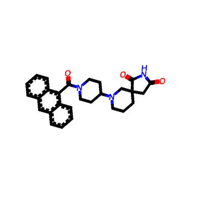 O=C1CC2(CCCN(C3CCN(C(=O)c4c5ccccc5cc5ccccc45)CC3)C2)C(=O)N1